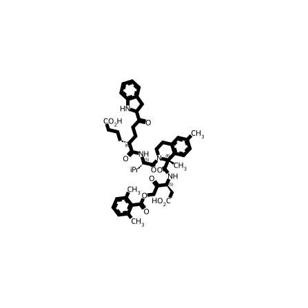 Cc1ccc2c(c1)CCN(C(=O)[C@@H](NC(=O)[C@H](CCCC(=O)O)CCC(=O)C1Cc3ccccc3N1)C(C)C)[C@@]2(C)C(=O)N[C@@H](CC(=O)O)C(=O)COC(=O)c1c(C)cccc1C